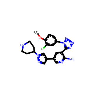 COc1ccc(-n2nnnc2-c2cc(-c3cnn(C4CCNCC4)c3)cnc2N)cc1Cl